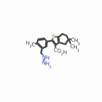 Cc1ccc(-c2sc3c(c2C(=O)O)CC(C)(C)CC3)cc1CNN